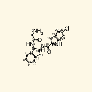 NCC(=O)N[C@@H]1c2ccccc2C[C@H]1NC(=O)c1cc2cc(Cl)sc2[nH]1